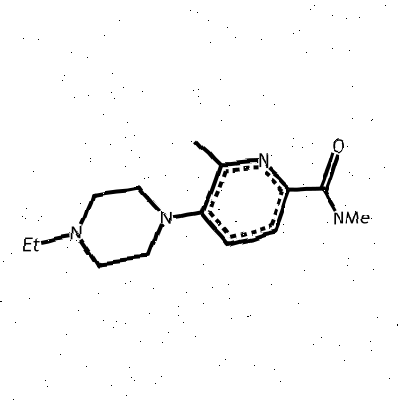 CCN1CCN(c2ccc(C(=O)NC)nc2C)CC1